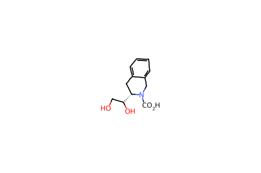 O=C(O)N1Cc2ccccc2C[C@H]1C(O)CO